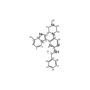 Cc1cccn2c(-c3nc(N[C@@H](C)c4ccccc4)ncc3N3CCN(C)CC3)cnc12